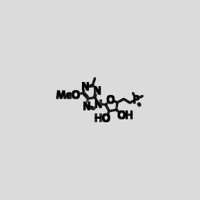 C=P(C)(C)CCC1OC(n2cnc3c(OC)nc(C)nc32)[C@H](O)[C@@H]1O